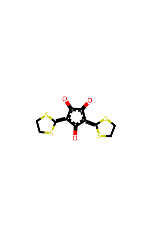 O=c1c(=O)c(=C2SCCS2)c(=O)c1=C1SCCS1